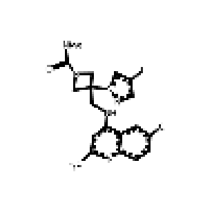 CNC(=O)N1CC(CNc2cc(C(F)(F)F)nc3ccc(Cl)cc23)(n2cc(F)cn2)C1